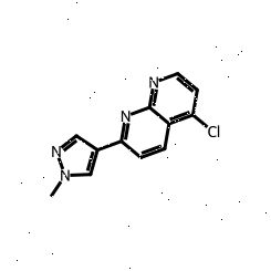 Cn1cc(-c2ccc3c(Cl)ccnc3n2)cn1